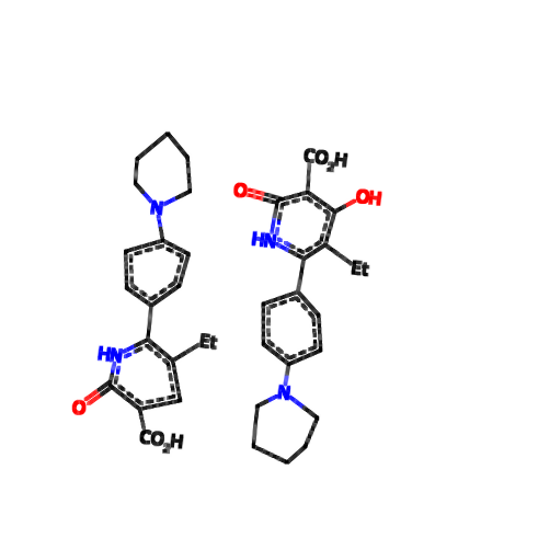 CCc1c(-c2ccc(N3CCCCC3)cc2)[nH]c(=O)c(C(=O)O)c1O.CCc1cc(C(=O)O)c(=O)[nH]c1-c1ccc(N2CCCCC2)cc1